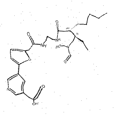 CCCCC[C@@H](C(=O)NCNC(=O)c1ccc(-c2cncc(C(=O)O)c2)o1)[C@@H](CC)N(O)C=O